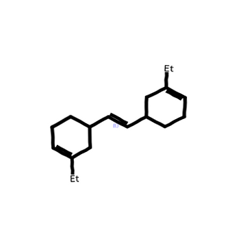 CCC1=CCCC(/C=C/C2CCC=C(CC)C2)C1